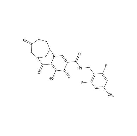 Cc1cc(F)c(CNC(=O)c2cn3c(c(O)c2=O)C(=O)N2CC(=O)CCC3C2)c(F)c1